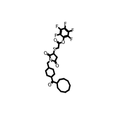 O=C(CSC1CC(=O)N(CC2CCC(C(=O)C3CCCCCCCC3)CC2)C1=O)Oc1c(F)c(F)c(F)c(F)c1F